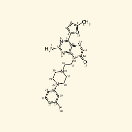 Cc1ccc(-c2nc(N)nc3c2ncc(=O)n3CCN2CCN(c3cccc(F)c3)CC2)o1